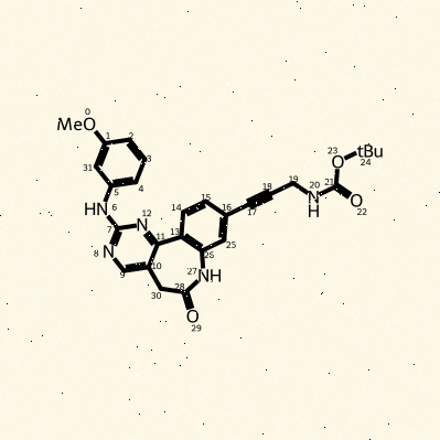 COc1cccc(Nc2ncc3c(n2)-c2ccc(C#CCNC(=O)OC(C)(C)C)cc2NC(=O)C3)c1